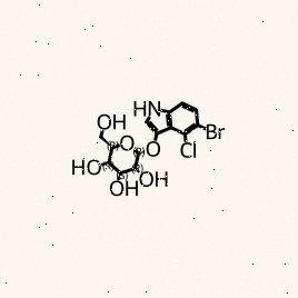 OC[C@H]1O[C@H](Oc2c[nH]c3ccc(Br)c(Cl)c23)[C@H](O)[C@@H](O)[C@H]1O